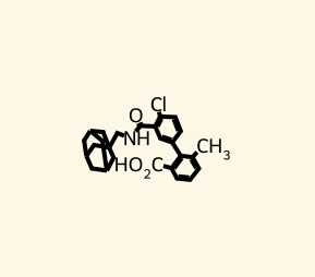 Cc1cccc(C(=O)O)c1-c1ccc(Cl)c(C(=O)NCC23CC4CC(CC(C4)C2)C3)c1